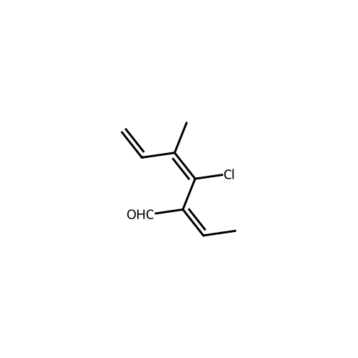 C=C/C(C)=C(Cl)\C(C=O)=C/C